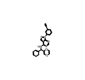 C#Cc1cccc(-n2ncc3c(NC(C4=CC=CCC4)C4=COC=CO4)ncnc32)c1